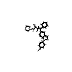 CC(C)(C(=O)NN1CSC=N1)C(c1ccccc1)c1ccc2c(cnn2-c2ccc(C(F)(F)F)cc2)c1